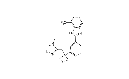 Cn1cnnc1CC1(c2cccc(-c3nc4c[c]cc(C(F)(F)F)c4[nH]3)c2)COC1